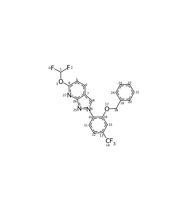 FC(F)Oc1ccc2cn(-c3ccc(C(F)(F)F)cc3OCc3ccccc3)nc2n1